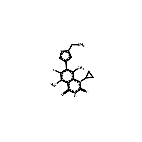 Cc1c(F)c(-c2csc(CN)c2)c(C)c2c1c(=O)[nH]c(=O)n2C1CC1